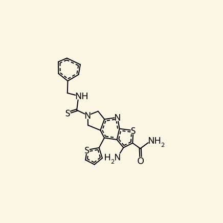 NC(=O)c1sc2nc3c(c(-c4cccs4)c2c1N)CN(C(=S)NCc1ccccc1)C3